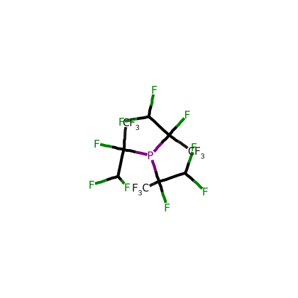 FC(F)C(F)(P(C(F)(C(F)F)C(F)(F)F)C(F)(C(F)F)C(F)(F)F)C(F)(F)F